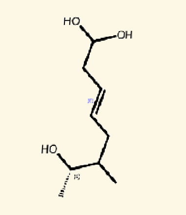 CC(C/C=C/CC(O)O)[C@H](C)O